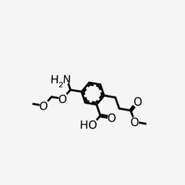 COCOC(N)c1ccc(CCC(=O)OC)c(C(=O)O)c1